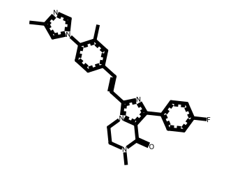 Cc1cn(-c2ccc(/C=C/c3nc(-c4ccc(F)cc4)c4n3CCN(C)C4=O)cc2C)cn1